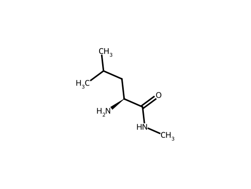 CNC(=O)[C@@H](N)CC(C)C